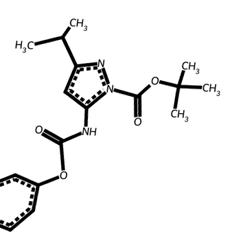 CC(C)c1cc(NC(=O)Oc2ccccc2)n(C(=O)OC(C)(C)C)n1